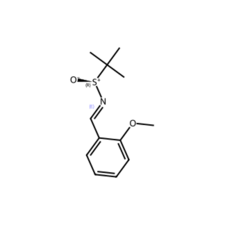 COc1ccccc1/C=N/[S@@+]([O-])C(C)(C)C